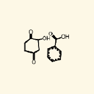 O=C(O)c1ccccc1.O=C1CCC(=O)C(O)C1